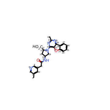 Cc1cncc(CC(=O)NC2CC(C(=O)O)N(c3nc(C)nc4c3oc3ccccc34)C2)c1